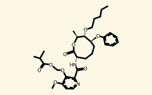 CCCCCO[C@H]1[C@H](C)OC(=O)[C@@H](NC(=O)c2nccc(OC)c2OCOC(=O)C(C)C)CCC[C@@H]1Oc1ccccc1